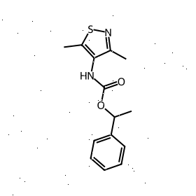 Cc1nsc(C)c1NC(=O)OC(C)c1ccccc1